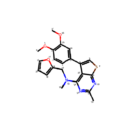 COc1ccc(-c2csc3nc(C)nc(N(C)Cc4ccco4)c23)cc1OC